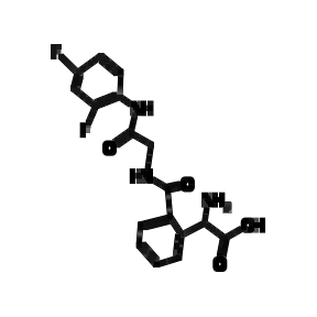 NC(C(=O)O)c1ccccc1C(=O)NCC(=O)Nc1ccc(F)cc1F